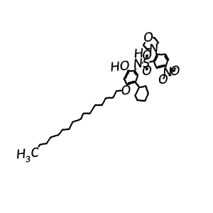 CCCCCCCCCCCCCCCCOc1cc(O)c(NS(=O)(=O)c2cc([N+](=O)[O-])ccc2N2CCOCC2)cc1C1CCCCC1